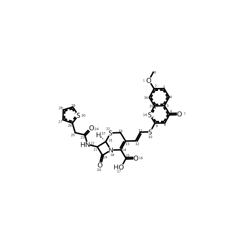 COc1ccc2c(=O)cc(S/C=C/C3=C(C(=O)O)N4C(=O)C(NC(=O)Cc5cccs5)[C@H]4SC3)sc2c1